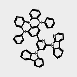 c1ccc(N2c3ccccc3B3c4ccccc4N(c4ccccc4)c4cc(-c5cc(-n6c7ccccc7c7ccccc76)cc(-n6c7ccccc7c7cccnc76)n5)cc2c43)cc1